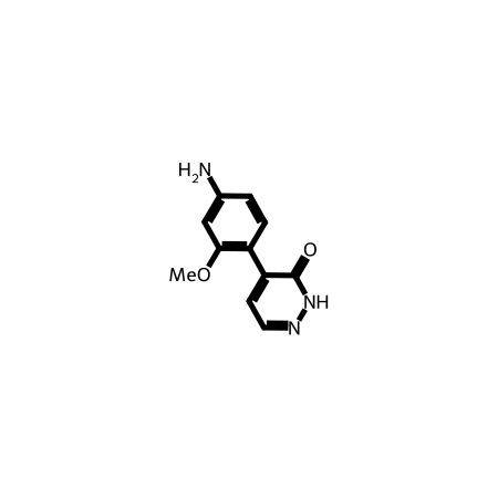 COc1cc(N)ccc1-c1ccn[nH]c1=O